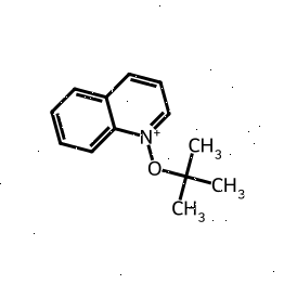 CC(C)(C)O[n+]1cccc2ccccc21